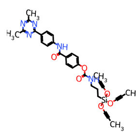 CC#CO[Si](CCCNC(=O)Oc1ccc(C(=O)Nc2ccc(-c3nc(C)nc(C)n3)cc2)cc1)(OC#CC)OC#CC